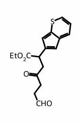 CCOC(=O)C(CC(=O)CCC=O)c1cc2cccsc-2c1